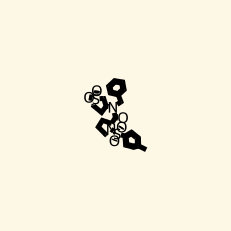 Cc1ccc(S(=O)(=O)N2CCCC2C(=O)N(Cc2ccccc2)C2CCS(=O)(=O)C2)cc1